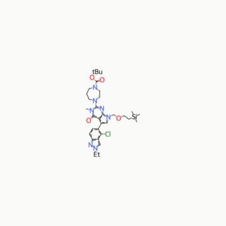 CCn1cc2c(Cl)c(-c3cn(COCC[Si](C)(C)C)c4nc(N5CCCN(C(=O)OC(C)(C)C)CC5)n(C)c(=O)c34)ccc2n1